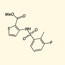 COC(=O)c1sccc1NS(=O)(=O)c1cccc(F)c1C